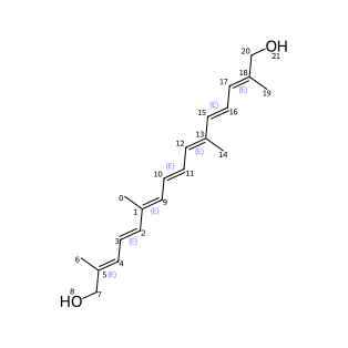 CC(/C=C/C=C(\C)CO)=C\C=C\C=C(C)\C=C\C=C(/C)CO